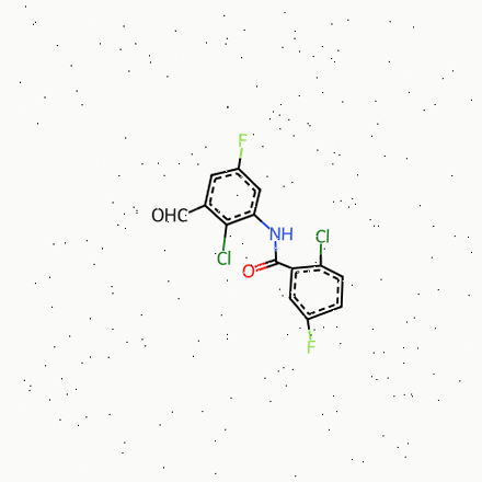 O=Cc1cc(F)cc(NC(=O)c2cc(F)ccc2Cl)c1Cl